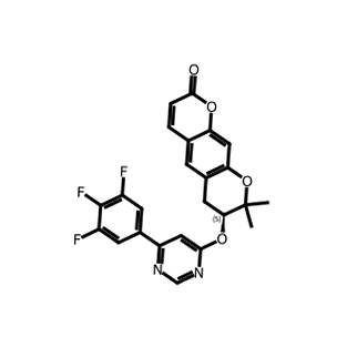 CC1(C)Oc2cc3oc(=O)ccc3cc2C[C@@H]1Oc1cc(-c2cc(F)c(F)c(F)c2)ncn1